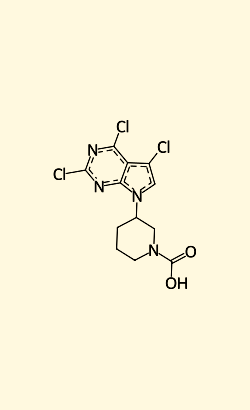 O=C(O)N1CCCC(n2cc(Cl)c3c(Cl)nc(Cl)nc32)C1